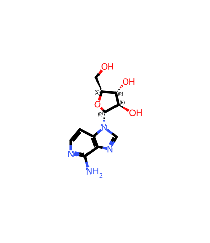 Nc1nccc2c1ncn2[C@@H]1O[C@@H](CO)[C@H](O)[C@H]1O